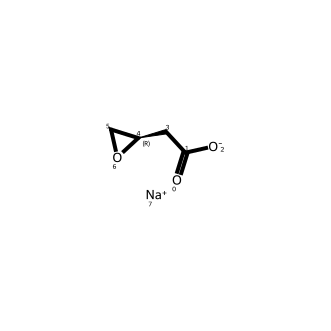 O=C([O-])C[C@@H]1CO1.[Na+]